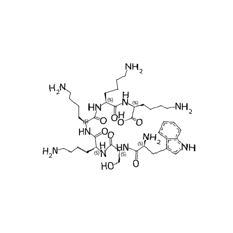 NCCCC[C@H](NC(=O)[C@H](CCCCN)NC(=O)[C@H](CCCCN)NC(=O)[C@H](CCCCN)NC(=O)[C@H](CO)NC(=O)[C@@H](N)Cc1c[nH]c2ccccc12)C(=O)O